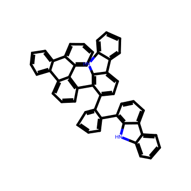 c1ccc(-c2cccc3c2[nH]c2ccccc23)c(-c2ccc3c([nH]c4ccccc43)c2-c2cccc3c4ccccc4c4ccccc4c23)c1